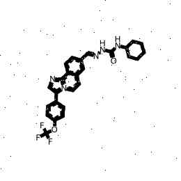 O=C(NN=Cc1ccc2c(ccn3c(-c4ccc(OC(F)(F)F)cc4)cnc23)c1)NC1CCCCC1